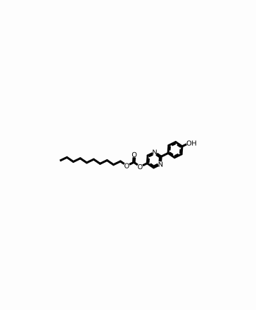 CCCCCCCCCCOC(=O)Oc1cnc(-c2ccc(O)cc2)nc1